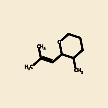 CC(C)=CC1OCCCC1C